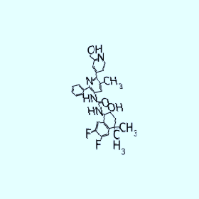 Cc1cc(NC(=O)N[C@@H]2c3cc(F)c(F)cc3C(C)(C)C[C@H]2O)c(-c2ccccc2)nc1-c1ccnc(CO)c1